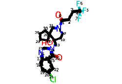 O=C(CCC(F)(F)F)N1CCC(O)(Cn2cnc3ccc(Cl)cc3c2=O)C2(CCCC2)C1